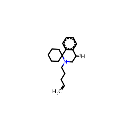 [2H]C1CN(CCCC=C)C2(CCCCC2)c2ccccc21